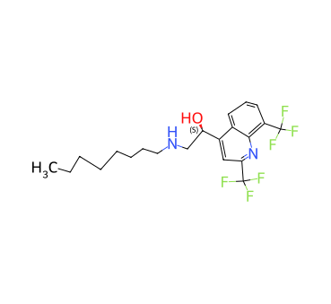 CCCCCCCCNC[C@@H](O)c1cc(C(F)(F)F)nc2c(C(F)(F)F)cccc12